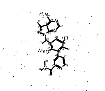 C=C(c1cc(-c2c(C)c(Cl)cc(C(C)n3nc(C)c4c(N)ncnc43)c2OC)ccn1)N(C)C